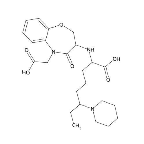 CCC(CCCC(NC1COc2ccccc2N(CC(=O)O)C1=O)C(=O)O)N1CCCCC1